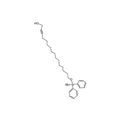 CC(C)(C)[Si](OCCCCCCCCCCCCCC#CCO)(c1ccccc1)c1ccccc1